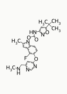 CNCc1cc(Oc2ccc3c(cc(C)n3OC(=O)Nc3cc(C(C)(C)C)on3)c2F)ncn1